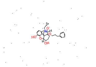 [O-][N+]1(CC2CC2)CC[C@]23c4c5ccc(O)c4O[C@H]2[C@@H](O)CC[C@@]3(OCCCc2ccccc2)[C@H]1C5